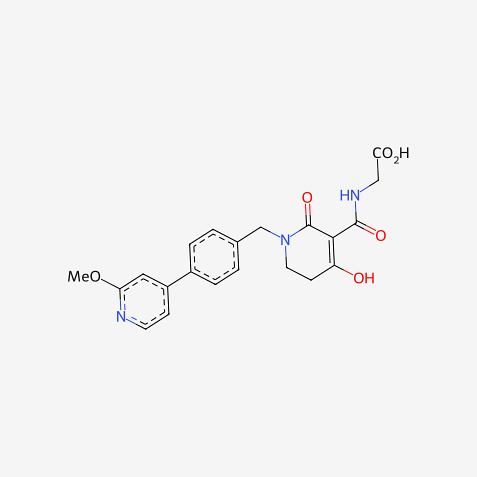 COc1cc(-c2ccc(CN3CCC(O)=C(C(=O)NCC(=O)O)C3=O)cc2)ccn1